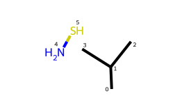 CC(C)C.NS